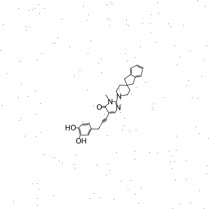 Cn1c(N2CCC3(CC2)Cc2ccccc2C3)ncc(C#CCc2ccc(O)c(O)c2)c1=O